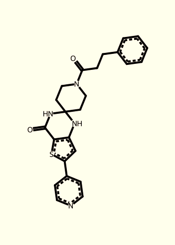 O=C1NC2(CCN(C(=O)CCc3ccccc3)CC2)Nc2cc(-c3ccncc3)sc21